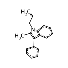 C=CCn1c(C)c(-c2ccccc2)c2ccccc21